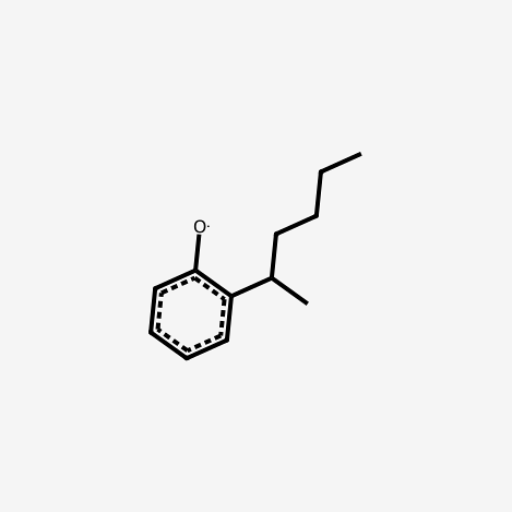 CCCCC(C)c1ccccc1[O]